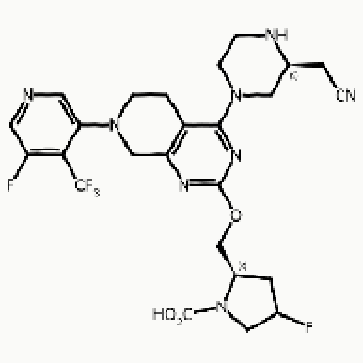 N#CC[C@H]1CN(c2nc(OC[C@H]3CC(F)CN3C(=O)O)nc3c2CCN(c2cncc(F)c2C(F)(F)F)C3)CCN1